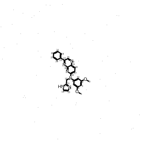 COc1cc(OC)cc(N(Cc2ncc[nH]2)c2ccc3ncc(-c4ccccc4)nc3n2)c1